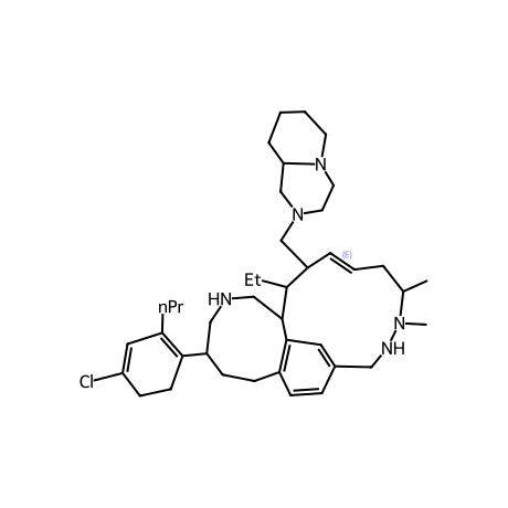 CCCC1=C(C2CCc3ccc4cc3C(CNC2)C(CC)C(CN2CCN3CCCCC3C2)/C=C/CC(C)N(C)NC4)CCC(Cl)=C1